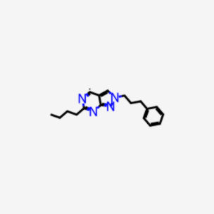 CCCCc1n[c]c2cn(CCCc3ccccc3)nc2n1